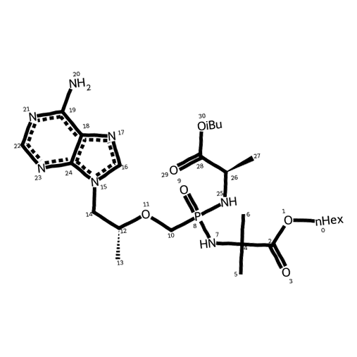 CCCCCCOC(=O)C(C)(C)NP(=O)(CO[C@H](C)Cn1cnc2c(N)ncnc21)N[C@H](C)C(=O)OCC(C)C